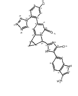 Nc1n[nH]c2cc(-c3[nH]c(C4C5CC5c5cc(-c6cc(Cl)ccc6-n6cnnn6)cc(=O)n54)nc3Cl)ccc12